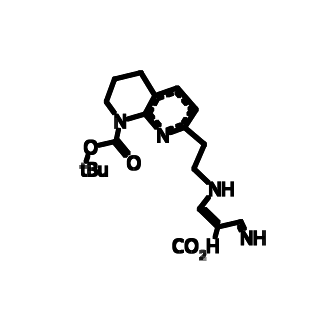 CC(C)(C)OC(=O)N1CCCc2ccc(CCN/C=C(\C=N)C(=O)O)nc21